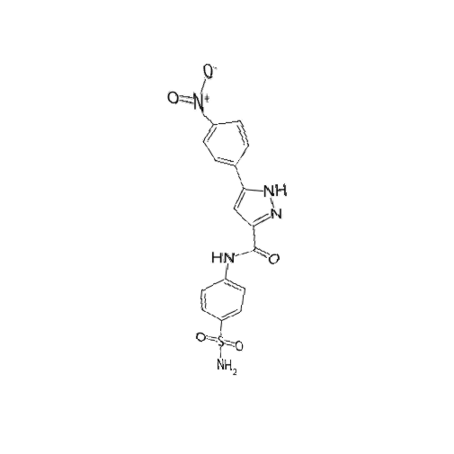 NS(=O)(=O)c1ccc(NC(=O)c2cc(-c3ccc([N+](=O)[O-])cc3)[nH]n2)cc1